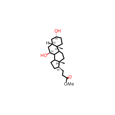 COC(=O)CC[C@H]1CCC2C3C(CC[C@@]21C)[C@@]1(C)CC[C@@H](O)C[C@H]1C[C@@H]3O